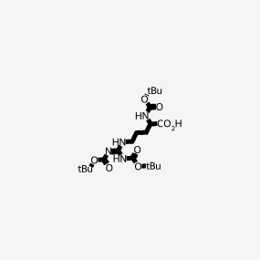 CC(C)(C)OC(=O)/N=C(/NCCCC(NC(=O)OC(C)(C)C)C(=O)O)NC(=O)OC(C)(C)C